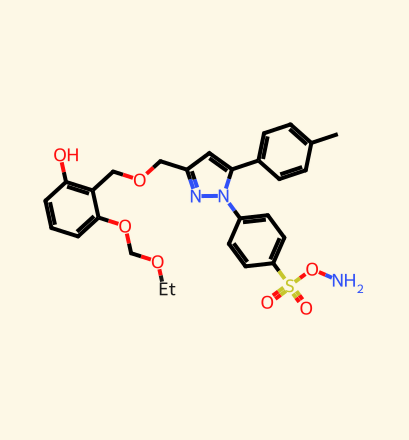 CCOCOc1cccc(O)c1COCc1cc(-c2ccc(C)cc2)n(-c2ccc(S(=O)(=O)ON)cc2)n1